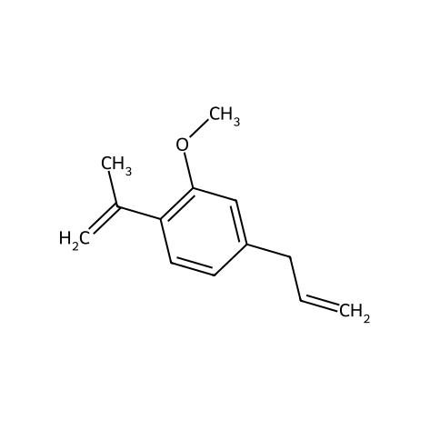 C=CCc1ccc(C(=C)C)c(OC)c1